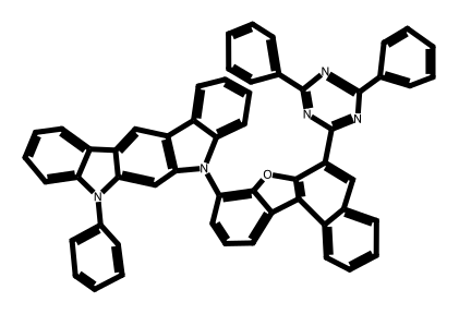 c1ccc(-c2nc(-c3ccccc3)nc(-c3cc4ccccc4c4c3oc3c(-n5c6ccccc6c6cc7c8ccccc8n(-c8ccccc8)c7cc65)cccc34)n2)cc1